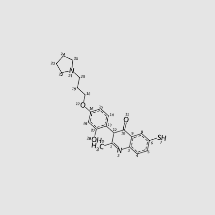 CC1=Nc2ccc(S)cc2C(=O)C1c1ccc(OCCCN2CCCC2)cc1O